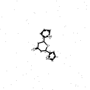 O=C1CC(c2ccc[se]2)SC(c2ccc[se]2)C1